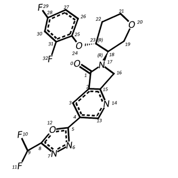 O=C1c2cc(-c3nnc(C(F)F)o3)cnc2CN1[C@@H]1COCC[C@H]1Oc1ccc(F)cc1F